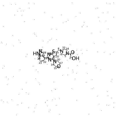 O=C(CO)N1CCN(Cc2cc3c(N4CCOCC4)nc(-c4cccc5[nH]ncc45)nc3s2)CC1